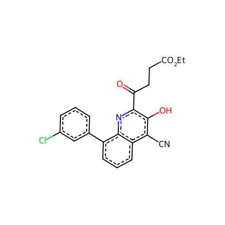 CCOC(=O)CCC(=O)c1nc2c(-c3cccc(Cl)c3)cccc2c(C#N)c1O